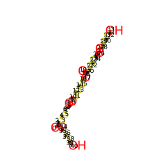 O=C(CSCSCCOOCSCSCSCOC(=O)CSCSCCOOCSCSCO)OCSCSCO